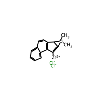 C[Si]1(C)C2=[C]([Zr+2])c3c(ccc4ccccc34)C21.[Cl-].[Cl-]